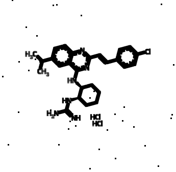 CC(C)c1ccc2nc(C=Cc3ccc(Cl)cc3)nc(N[C@H]3CCCC[C@H]3NC(=N)N)c2c1.Cl.Cl